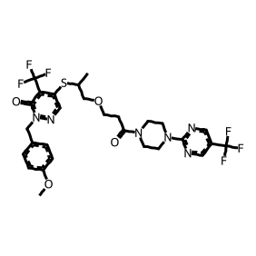 COc1ccc(Cn2ncc(SC(C)COCCC(=O)N3CCN(c4ncc(C(F)(F)F)cn4)CC3)c(C(F)(F)F)c2=O)cc1